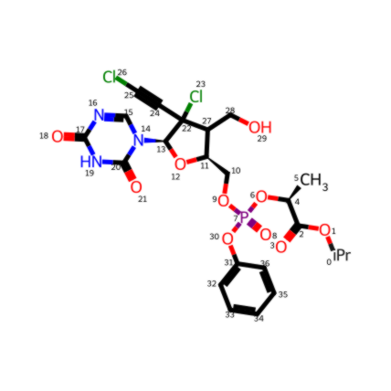 CC(C)OC(=O)[C@H](C)OP(=O)(OC[C@H]1O[C@@H](n2cnc(=O)[nH]c2=O)C(Cl)(C#CCl)C1CO)Oc1ccccc1